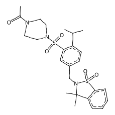 CC(=O)N1CCN(S(=O)(=O)c2cc(CN3C(C)(C)c4ccccc4S3(=O)=O)ccc2C(C)C)CC1